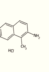 Cc1c(N)ccc2ccccc12.Cl